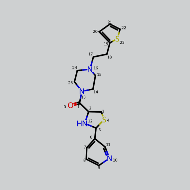 O=C(C1CSC(c2cccnc2)N1)N1CCN(CCc2cccs2)CC1